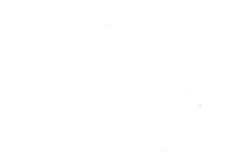 COc1cc2c(OC3OC(CO)C4OC5(CCCC5)OC34)c3c(c(-c4ccc5c(c4)OCO5)c2cc1OC)C(=O)OC3